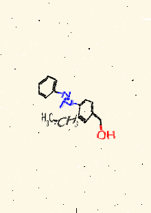 CC.OCc1ccc(N=Nc2ccccc2)cc1